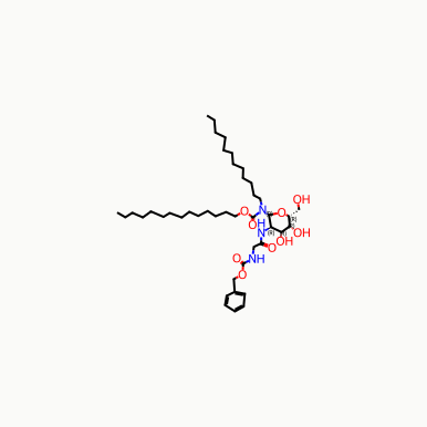 CCCCCCCCCCCCCCOC(=O)N(CCCCCCCCCCCC)[C@@H]1O[C@H](CO)[C@H](O)[C@H](O)[C@H]1NC(=O)CNC(=O)OCc1ccccc1